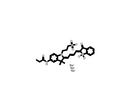 CC1(C)/C(=C/C=C/C=C2/C(=O)c3ccccc3S2([O-])[O-])N(CCCS(=O)(=O)[O-])c2ccc(NC(=O)CI)cc21.[Na+].[Na+].[Na+]